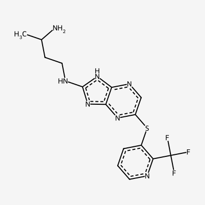 CC(N)CCNc1nc2nc(Sc3cccnc3C(F)(F)F)cnc2[nH]1